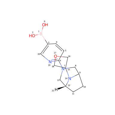 OB(O)c1ccc(N2CC3CC[C@H](C2)N3C2COC2)nc1